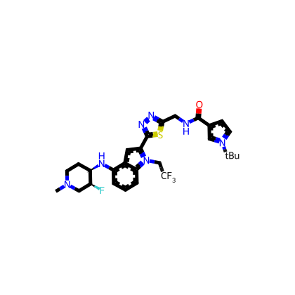 CN1CC[C@@H](Nc2cccc3c2cc(-c2nnc(CNC(=O)c4ccn(C(C)(C)C)c4)s2)n3CC(F)(F)F)[C@@H](F)C1